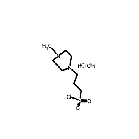 CN1CCN(CCCS(=O)(=O)Cl)CC1.Cl.Cl